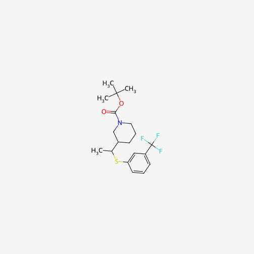 CC(Sc1cccc(C(F)(F)F)c1)C1CCCN(C(=O)OC(C)(C)C)C1